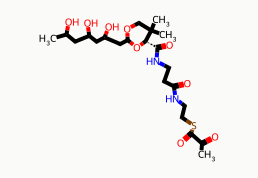 CC(=O)C(=O)SCCNC(=O)CCNC(=O)[C@@H]1OC(CC(O)CC(O)CC(C)O)OCC1(C)C